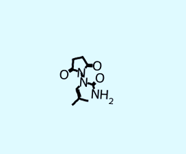 CC(C)=CN(C(N)=O)N1C(=O)CCC1=O